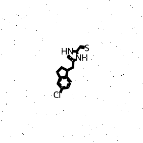 S=CC1NC=C(CC2CCc3cc(Cl)ccc32)N1